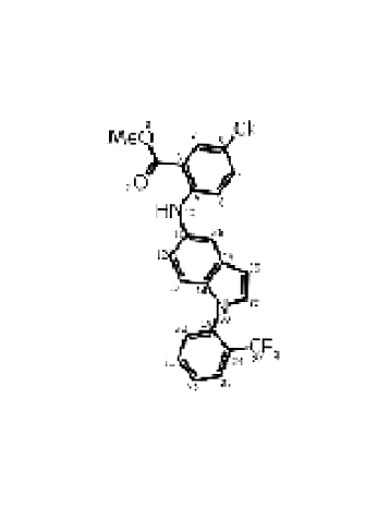 COC(=O)c1cc(Cl)ccc1Nc1ccc2c(ccn2-c2ccccc2C(F)(F)F)c1